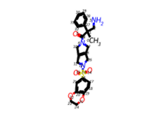 CC(CN)(C(=O)N1CC2=C(C1)CN(S(=O)(=O)c1ccc3c(c1)OCCO3)C2)c1ccccc1